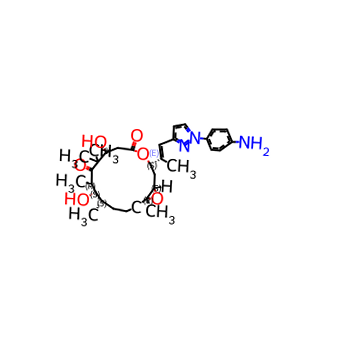 C/C(=C\c1ccn(-c2ccc(N)cc2)n1)[C@@H]1C[C@@H]2O[C@]2(C)CCC[C@H](C)[C@H](O)[C@@H](C)C(=O)C(C)(C)[C@@H](O)CC(=O)O1